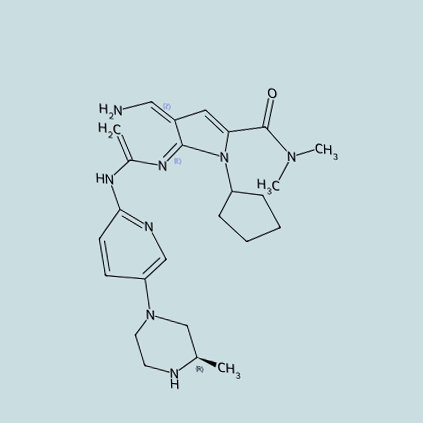 C=C(/N=C1\C(=C/N)C=C(C(=O)N(C)C)N1C1CCCC1)Nc1ccc(N2CCN[C@H](C)C2)cn1